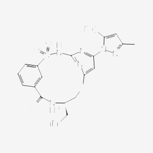 Cc1cc(C(F)(F)F)n(-c2cc3nc(n2)NS(=O)(=O)c2cccc(c2)C(=O)N[C@H](CC(C)C)CO3)n1